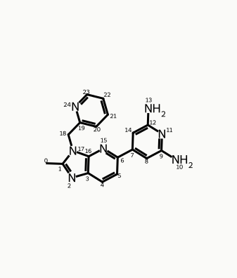 Cc1nc2ccc(-c3cc(N)nc(N)c3)nc2n1Cc1ccccn1